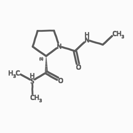 CCNC(=O)N1CCC[C@H]1C(=O)[SH](C)C